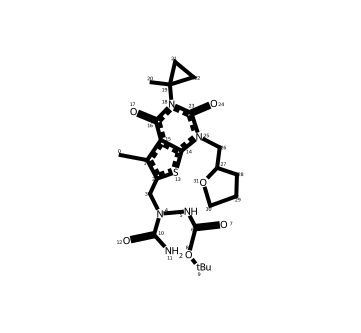 Cc1c(CN(NC(=O)OC(C)(C)C)C(N)=O)sc2c1c(=O)n(C1(C)CC1)c(=O)n2CC1CCCO1